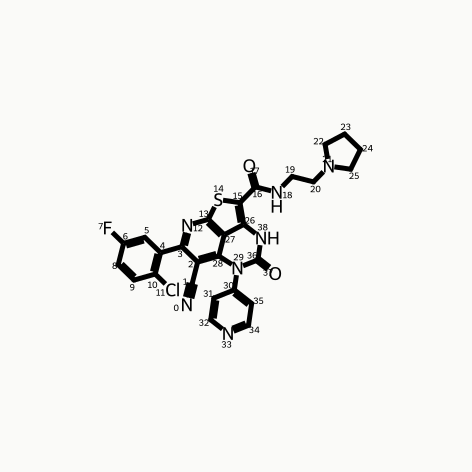 N#Cc1c(-c2cc(F)ccc2Cl)nc2sc(C(=O)NCCN3CCCC3)c3c2c1N(c1ccncc1)C(=O)N3